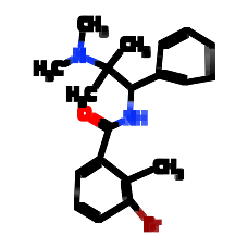 Cc1c(Br)cccc1C(=O)NC(c1ccccc1)C(C)(C)N(C)C